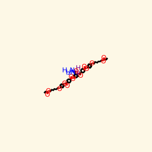 C=CC(=O)OCCCCCCOc1ccc(OC(=O)C2CCC(C(=O)Oc3ccc(PC(=O)C4CCC(C(=O)Oc5ccc(OCCCCCCOC(=O)C=C)cc5)CC4)c(C(=O)NN)c3)CC2)cc1